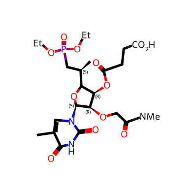 CCOP(=O)(C[C@@H](C)C1O[C@H](n2cc(C)c(=O)[nH]c2=O)[C@H](OCC(=O)NC)[C@@H]1OC(=O)CCC(=O)O)OCC